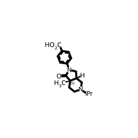 CC(C)N1CC[C@]2(C)C(=O)N(c3ccc(C(=O)O)cc3)C[C@@H]2C1